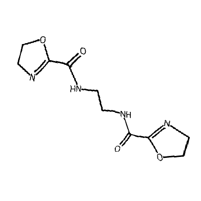 O=C(NCCNC(=O)C1=NCCO1)C1=NCCO1